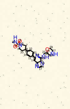 CNS(=O)(=O)N1CCC(c2ccc(-c3cc4nccnc4c(NC[C@@H]4CNCCO4)n3)cc2)CC1